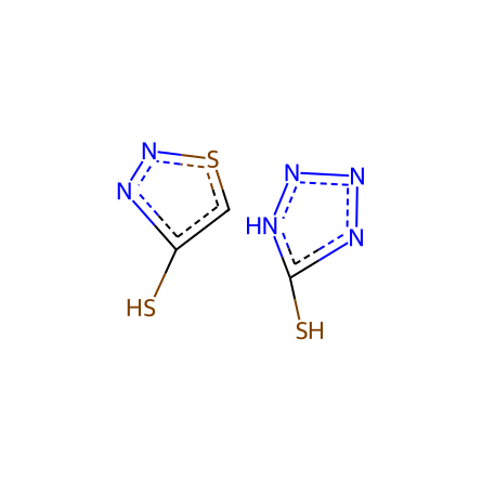 Sc1csnn1.Sc1nnn[nH]1